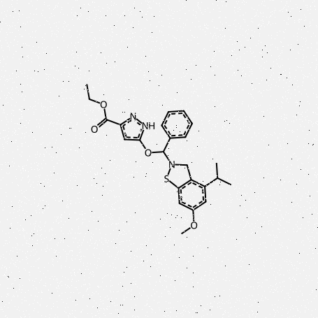 CCOC(=O)c1cc(OC(c2ccccc2)N2Cc3c(cc(OC)cc3C(C)C)S2)[nH]n1